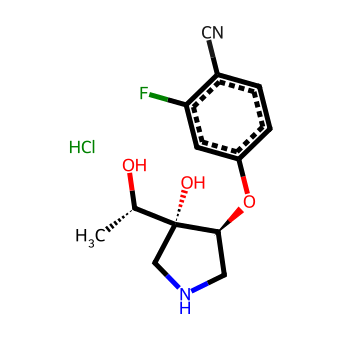 C[C@H](O)[C@]1(O)CNC[C@@H]1Oc1ccc(C#N)c(F)c1.Cl